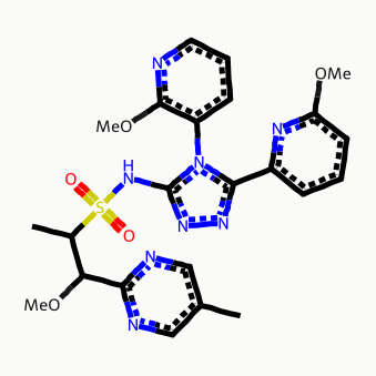 COc1cccc(-c2nnc(NS(=O)(=O)C(C)C(OC)c3ncc(C)cn3)n2-c2cccnc2OC)n1